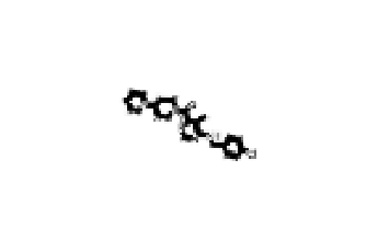 Cc1c(NCc2ccc(Cl)cc2)ncnc1C(=O)N1CCC(N2CCCCC2)CC1